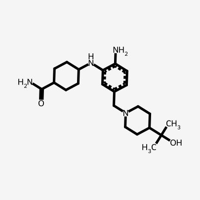 CC(C)(O)C1CCN(Cc2ccc(N)c(NC3CCC(C(N)=O)CC3)c2)CC1